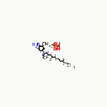 CCCCCCCCCCCCN(CC)c1ccc(N)c(C)c1.O=S(=O)(O)O